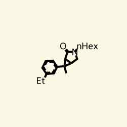 CCCCCCN1CC2C(C1=O)C2(C)c1cccc(CC)c1